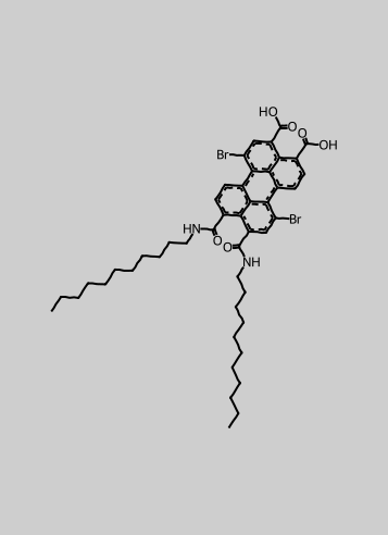 CCCCCCCCCCCNC(=O)c1ccc2c3c(Br)cc(C(=O)O)c4c(C(=O)O)ccc(c5c(Br)cc(C(=O)NCCCCCCCCCCC)c1c25)c43